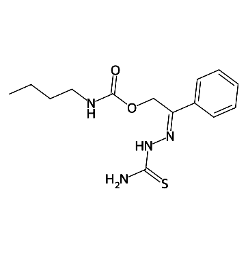 CCCCNC(=O)OCC(=NNC(N)=S)c1ccccc1